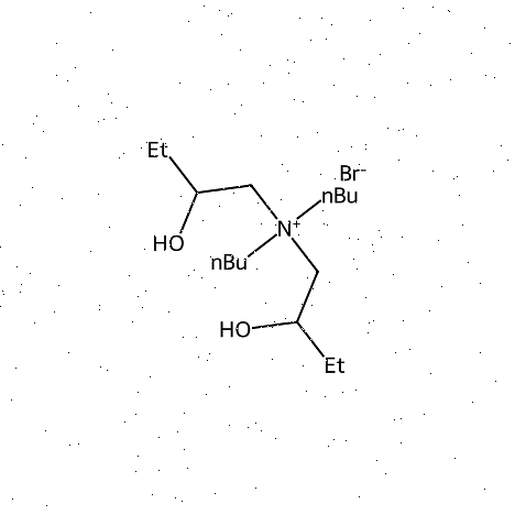 CCCC[N+](CCCC)(CC(O)CC)CC(O)CC.[Br-]